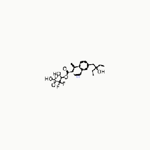 C=C(CC(=O)OC(O)C(F)(F)S(=O)(=O)O)c1ccc(CC(O)(CC)CC)cc1/C=C\C